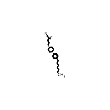 CCCCCCCc1ccc([C@H]2CC[C@H](CC/C=C(\F)C#N)CC2)cc1